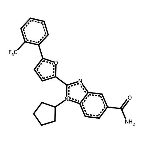 NC(=O)c1ccc2c(c1)nc(-c1ccc(-c3ccccc3C(F)(F)F)o1)n2C1CCCC1